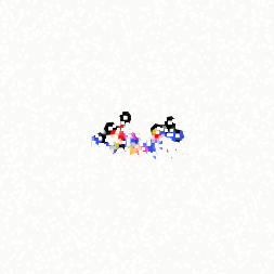 CO/N=C(/C(=O)NC1C(=O)N2C(C(=O)OC(c3ccccc3)c3ccccc3)=C(c3cnc(-c4cccnc4)s3)C[S+]([O-])C12)c1csc(NC(c2ccccc2)(c2ccccc2)c2ccccc2)n1